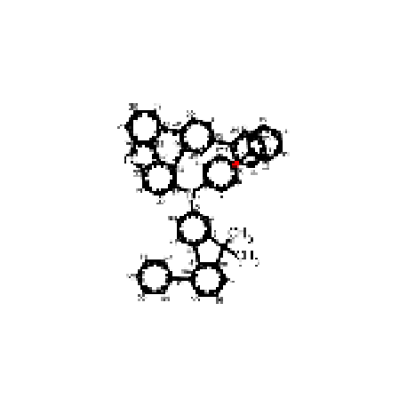 CC1(C)c2cc(N(c3ccc(-c4ccccc4)cc3)c3ccc4oc5cccc6c7ccc(-c8ccccc8)cc7c3c4c56)ccc2-c2c(-c3ccccc3)cccc21